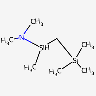 CN(C)[SiH](C)C[Si](C)(C)C